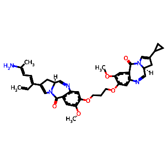 C=C/C(=C\C=C(/C)N)C1=CN2C(=O)c3cc(OC)c(OCCCOc4cc5c(cc4OC)C(=O)N4C=C(C6CC6)C[C@H]4C=N5)cc3N=C[C@@H]2C1